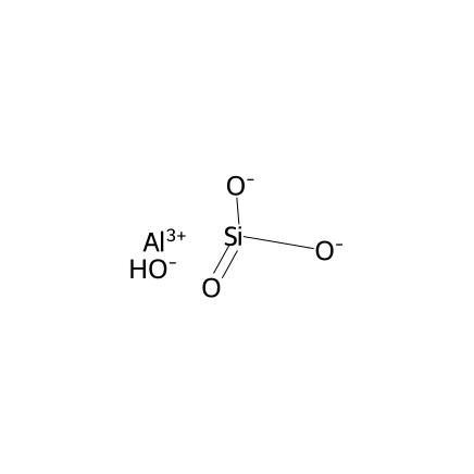 O=[Si]([O-])[O-].[Al+3].[OH-]